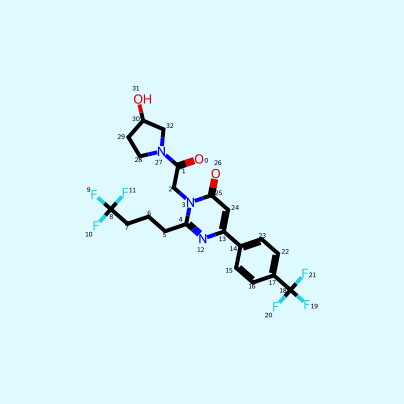 O=C(Cn1c(CCCC(F)(F)F)nc(-c2ccc(C(F)(F)F)cc2)cc1=O)N1CCC(O)C1